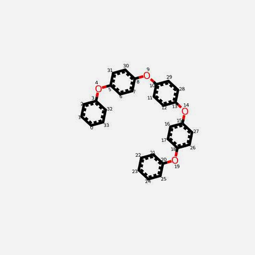 c1ccc(Oc2ccc(Oc3ccc(Oc4ccc(Oc5ccccc5)cc4)cc3)cc2)cc1